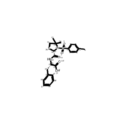 Cc1ccc(S(=O)(=O)N2[C@H](C(=O)N[C@@H](Cc3ccccc3)C(=O)O)SCC2(C)C)cc1